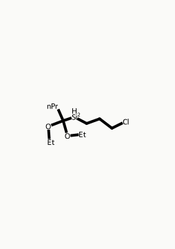 CCCC(OCC)(OCC)[SiH2]CCCCl